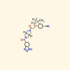 CC(C)(C)c1cc(C#N)ccc1OCC(=O)N1C[C@@H]2CN(C(=O)c3ccc4[nH]nnc4c3)C[C@H]2C1